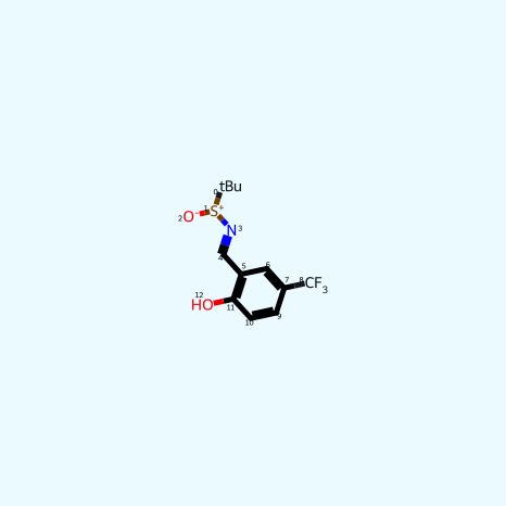 CC(C)(C)[S+]([O-])N=Cc1cc(C(F)(F)F)ccc1O